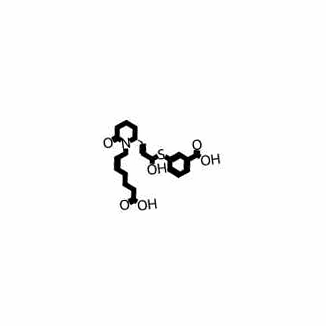 O=C(O)CCC/C=C\CN1C(=O)CCC[C@@H]1/C=C/C(O)Sc1cccc(C(=O)O)c1